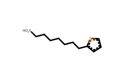 O=S(=O)(O)CCCCCCCc1cccs1